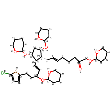 O=C(CCCC=CC[C@@H]1[C@@H](C=CC(CCc2ccc(Br)s2)OC2CCCCO2)[C@H](OC2CCCCO2)C[C@@H]1OC1CCCCO1)COC1CCCCO1